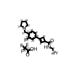 CC(C)CNC(=O)C1C=C(c2ccc(CN3CCCC3)c(F)c2)C1.O=C(O)C(F)(F)F